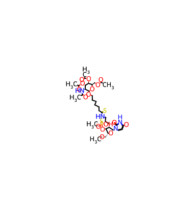 COC[C@H]1O[C@@H](n2ccc(=O)[nH]c2=O)[C@@H](CCCNC(=S)CCCCCCO[C@@H]2O[C@H](COC(C)=O)[C@H](OC(C)=O)[C@H](OC(C)=O)[C@H]2NC(C)=O)C1OP(O)(=S)OC